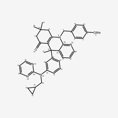 COc1ccc(CN2C3=C(C(=O)CC(C)(C)C3)C(C)(c3cccc(N(CC4CC4)c4ncccn4)c3)c3cccnc32)cc1